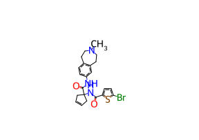 CN1CCc2ccc(NC(=O)C3(NC(=O)c4ccc(Br)s4)CC=CC3)cc2CC1